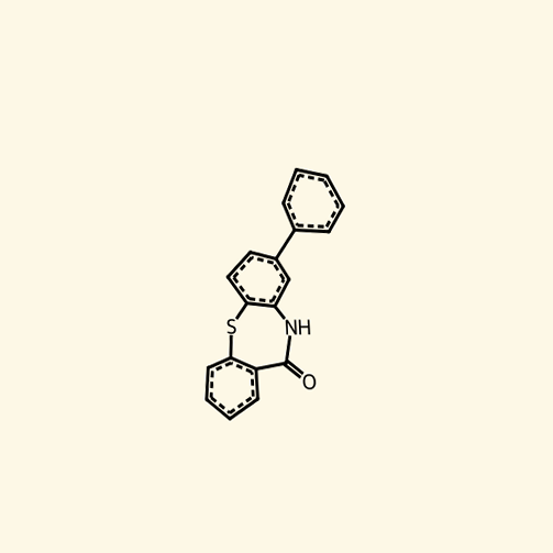 O=C1Nc2cc(-c3ccccc3)ccc2Sc2ccccc21